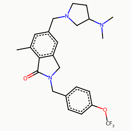 Cc1cc(CN2CCC(N(C)C)C2)cc2c1C(=O)N(Cc1ccc(OC(F)(F)F)cc1)C2